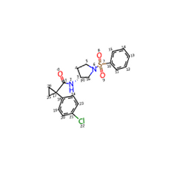 O=C(N[C@@H]1CCN(S(=O)(=O)c2ccccc2)C1)C1(c2ccc(Cl)cc2)CC1